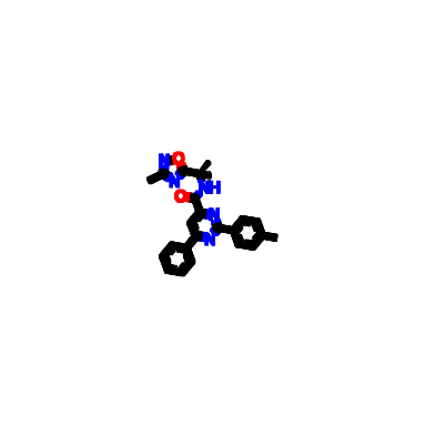 Cc1ccc(-c2nc(C(=O)N[C@H](C)c3nc(C)no3)cc(-c3ccccc3)n2)cc1